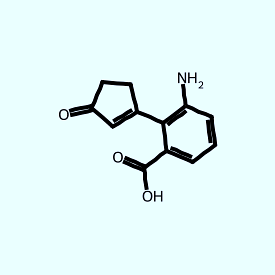 Nc1cccc(C(=O)O)c1C1=CC(=O)CC1